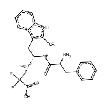 NC(Cc1ccccc1)C(=O)N[C@@H](Cc1c(C(F)(F)F)[nH]c2ccccc12)C(=O)O.O=C(O)C(F)(F)F